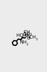 COP(=O)(C[C@H](O)[C@@H](N)CC1CCCCC1)OC